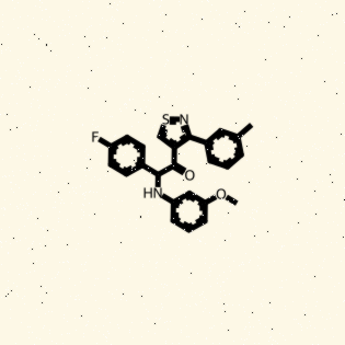 COc1cccc(NC(C(=O)c2csnc2-c2cccc(C)c2)c2ccc(F)cc2)c1